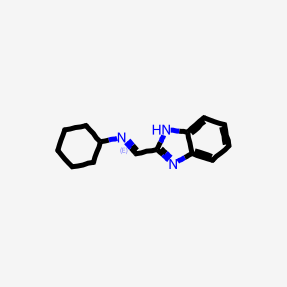 C(=N\C1CCCCC1)/c1nc2ccccc2[nH]1